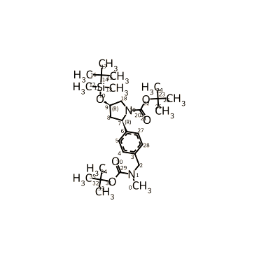 CN(Cc1ccc([C@H]2C[C@@H](O[Si](C)(C)C(C)(C)C)CN2C(=O)OC(C)(C)C)cc1)C(=O)OC(C)(C)C